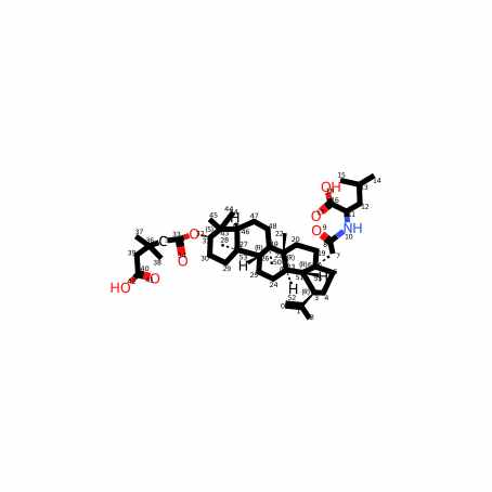 C=C(C)[C@@H]1CC[C@]2(CC(=O)NC(CC(C)C)C(=O)O)CC[C@]3(C)[C@H](CC[C@@H]4[C@@]5(C)CC[C@H](OC(=O)CC(C)(C)CC(=O)O)C(C)(C)[C@@H]5CC[C@]43C)[C@@H]12